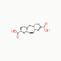 O=C(O)C1=CC2C=Cc3cc(C(=O)O)ccc3CC2C=C1